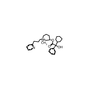 C[N+]1(CCCc2ccccn2)CCC[C@@H](OC(=O)C(O)(c2ccccc2)C2CCCCC2)C1